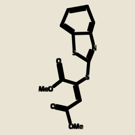 COC(=O)C=C(Sc1nc2ccccc2s1)C(=O)OC